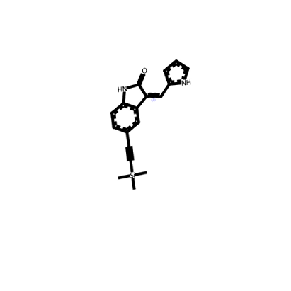 C[Si](C)(C)C#Cc1ccc2c(c1)/C(=C/c1ccc[nH]1)C(=O)N2